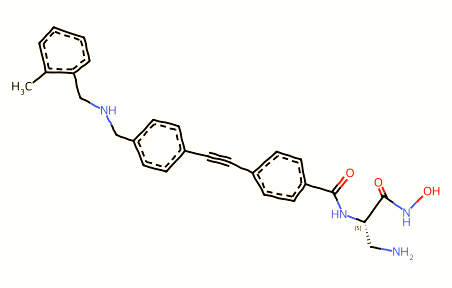 Cc1ccccc1CNCc1ccc(C#Cc2ccc(C(=O)N[C@@H](CN)C(=O)NO)cc2)cc1